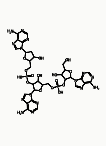 Nc1ncnc2c1ncn2C1CC(O)C(COP(=O)(O)OC2C(O)C(COP(=O)(O)OC3C(O)C(CO)OC3n3cnc4c(N)ncnc43)OC2n2cnc3c(N)ncnc32)O1